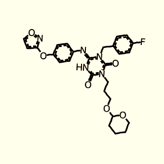 O=c1[nH]/c(=N\c2ccc(Oc3ccon3)cc2)n(Cc2ccc(F)cc2)c(=O)n1CCCOC1CCCCO1